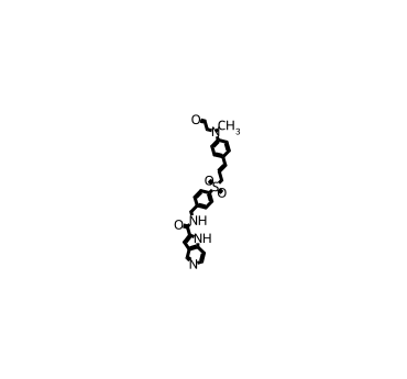 CN(CC=O)c1ccc(C=CCS(=O)(=O)c2ccc(CNC(=O)c3cc4cnccc4[nH]3)cc2)cc1